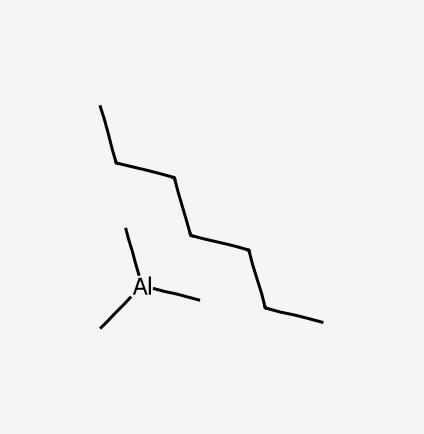 CCCCCCC.[CH3][Al]([CH3])[CH3]